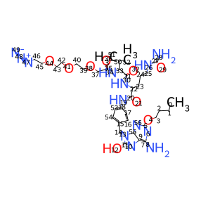 CCCCOc1nc(N)c2nc(O)n(Cc3ccc(NC(=O)C(CCCNC(N)=O)NC(=O)C(NC(=O)COCCOCCOCCN=[N+]=[N-])C(C)C)cc3)c2n1